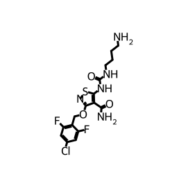 NCCCCNC(=O)Nc1snc(OCc2c(F)cc(Cl)cc2F)c1C(N)=O